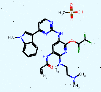 C=CC(=O)Nc1cc(Nc2nccc(-c3cn(C)c4ccccc34)n2)c(OC(F)C(F)F)nc1N(C)CCN(C)C.CS(=O)(=O)O